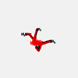 CCCCCCCCCCCCCCCC(=O)OC[C@H](COP(=O)(O)OCC1OC(OC2OC(COP(=O)(O)OC[C@@H](COC(=O)CCCCCCCCCCCCCCC)OC(=O)CCCCCCC[C@H]3C[C@H]3CCCCCC)C(O)C(O)C2O)C(O)C(O)C1O)OC(=O)CCCCCCC[C@H]1C[C@H]1CCCCCC